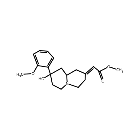 COC(=O)C=C1CCN2CCC(O)(c3ccccc3OC)CC2C1